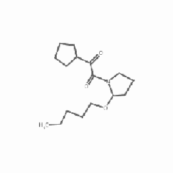 CCCCCOC1CCCN1C(=O)C(=O)C1CCCC1